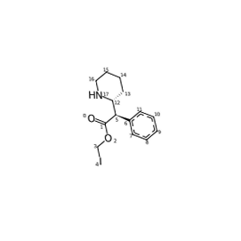 O=C(OCI)[C@H](c1ccccc1)[C@H]1CCCCN1